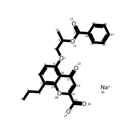 CCCc1ccc(OCC(C)OC(=O)c2ccccc2)c2c(=O)cc(C(=O)[O-])oc12.[Na+]